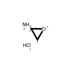 C1CO1.Cl.N